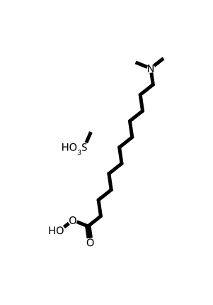 CN(C)CCCCCCCCCCCC(=O)OO.CS(=O)(=O)O